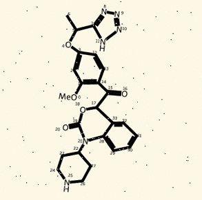 COc1cc(OC(C)c2nnn[nH]2)ccc1C(=O)C1OC(=O)N(C2CCNCC2)c2ccccc21